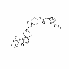 Cc1nnc(CC(=O)NC2CCC(F)(CCN3CCc4ccc(OC(C)C(F)(F)F)nc4CC3)CC2)s1